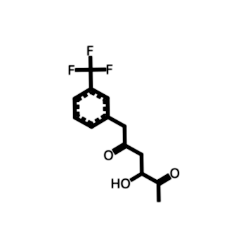 CC(=O)C(O)CC(=O)Cc1cccc(C(F)(F)F)c1